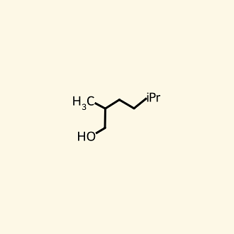 CC(C)CCC(C)CO